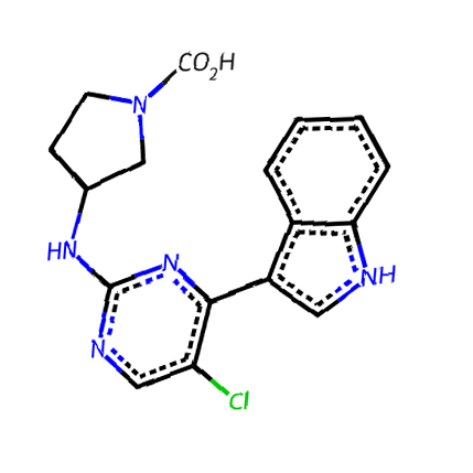 O=C(O)N1CCC(Nc2ncc(Cl)c(-c3c[nH]c4ccccc34)n2)C1